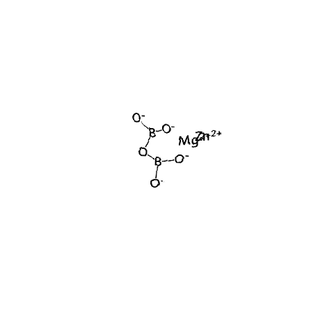 [Mg+2].[O-]B([O-])OB([O-])[O-].[Zn+2]